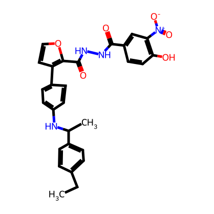 CCc1ccc(C(C)Nc2ccc(-c3ccoc3C(=O)NNC(=O)c3ccc(O)c([N+](=O)[O-])c3)cc2)cc1